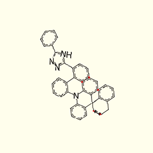 c1ccc(-c2nnc(-c3ccccc3-c3ccccc3N3c4ccccc4C4(c5ccccc5Cc5ccccc54)c4ccccc43)[nH]2)cc1